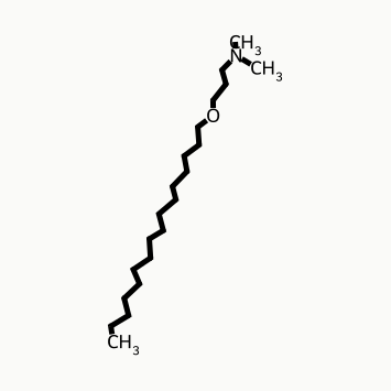 CCCCCCCCCCCCCCCCOCCCN(C)C